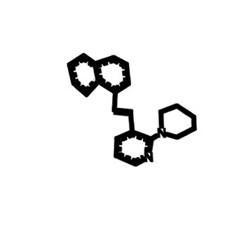 C(=C\c1cccc2ccccc12)/c1cccnc1N1CCCCC1